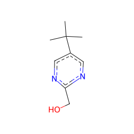 CC(C)(C)c1cnc(CO)nc1